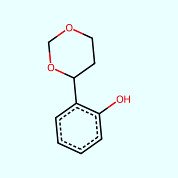 Oc1ccccc1C1CCOCO1